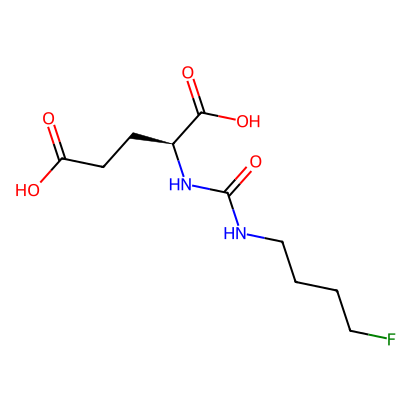 O=C(O)CC[C@H](NC(=O)NCCCCF)C(=O)O